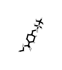 CCOC(=O)C1CCC(CO[Si](C)(C)C(C)(C)C)CC1